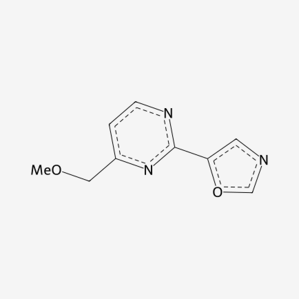 COCc1ccnc(-c2cnco2)n1